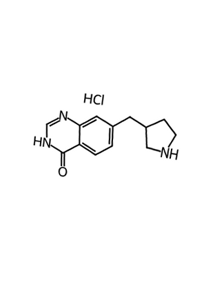 Cl.O=c1[nH]cnc2cc(CC3CCNC3)ccc12